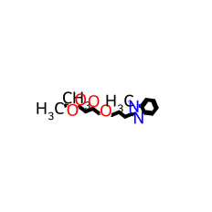 CC(C)OC(=O)CC(=O)COCCCc1nc2ccccc2n1C